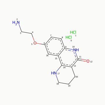 Cl.Cl.NCCOc1ccc2[nH]c(=O)c3c(c2c1)NCCC3